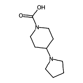 O=C(O)N1CCC(N2CCCC2)CC1